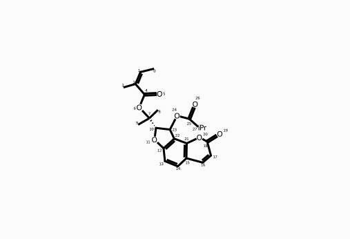 C/C=C(/C)C(=O)OC(C)(C)[C@H]1Oc2ccc3ccc(=O)oc3c2C1OC(=O)C(C)C